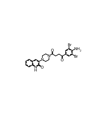 Nc1c(Br)cc(C(=O)CCC(=O)N2CCN(c3cc4ccccc4[nH]c3=O)CC2)cc1Br